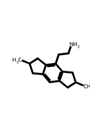 CC1Cc2cc3c(c(CCN)c2C1)CC(C)C3